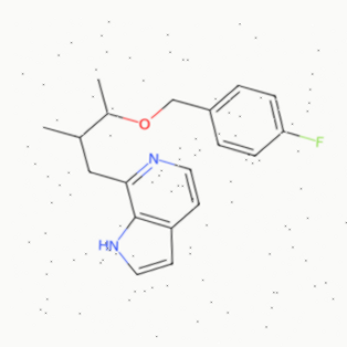 CC(Cc1nccc2cc[nH]c12)C(C)OCc1ccc(F)cc1